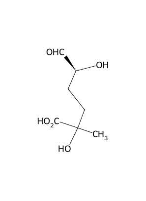 CC(O)(CC[C@H](O)C=O)C(=O)O